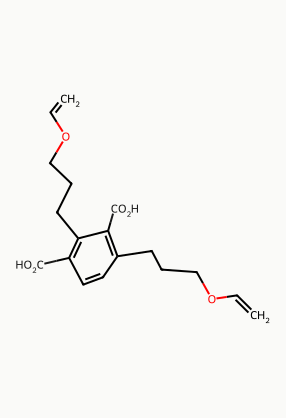 C=COCCCc1ccc(C(=O)O)c(CCCOC=C)c1C(=O)O